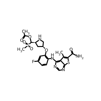 CC(=O)OC([C@@H]1C[C@H](Oc2cc(F)ccc2Nc2ncnc3sc(C(N)=O)c(C)c23)CN1)S(C)(=O)=O